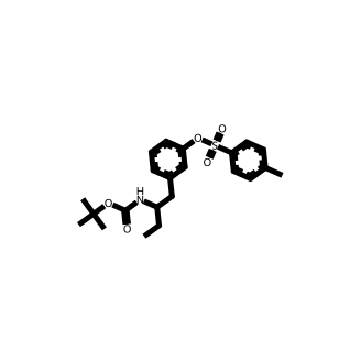 CCC(Cc1cccc(OS(=O)(=O)c2ccc(C)cc2)c1)NC(=O)OC(C)(C)C